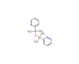 CC(C)(OC(C)(C)c1ccccn1)c1ccccn1